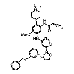 C=CC(=O)Nc1cc(Nc2cc(N3OCC[C@@H]3c3cccc(OCc4ccccc4)c3)ncn2)c(OC)cc1N1CCN(C)CC1